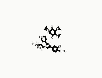 CN(C)CCn1cc(-c2ccc(F)c(Cl)c2)nc1C1CCNCC1.Cl.O=C1C=C(N2CC2)C(=O)C(N2CC2)=C1N1CC1